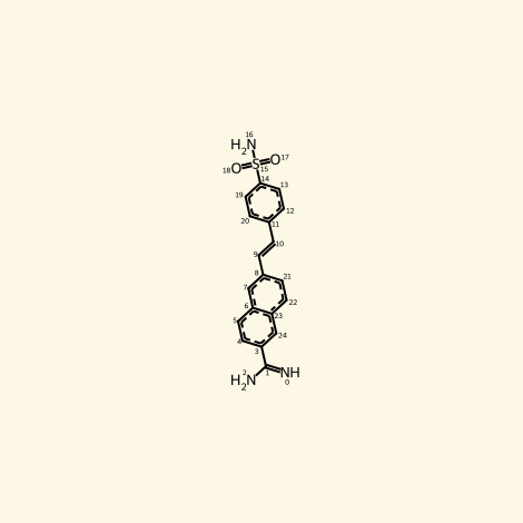 N=C(N)c1ccc2cc(/C=C/c3ccc(S(N)(=O)=O)cc3)ccc2c1